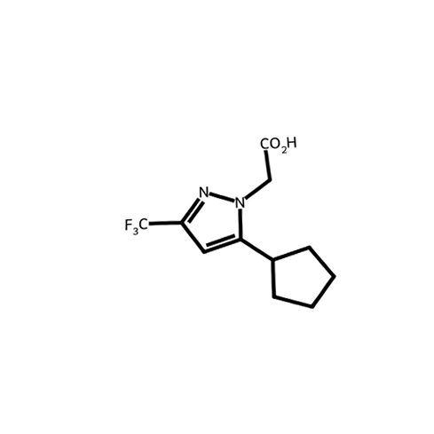 O=C(O)Cn1nc(C(F)(F)F)cc1C1CCCC1